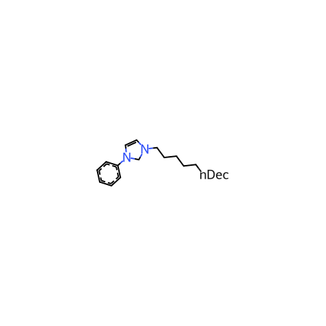 CCCCCCCCCCCCCCCN1C=CN(c2ccccc2)C1